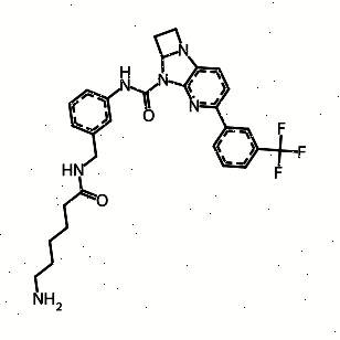 NCCCCCC(=O)NCc1cccc(NC(=O)N2c3nc(-c4cccc(C(F)(F)F)c4)ccc3N3CCC32)c1